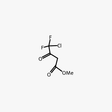 COC(=O)CC(=O)C(F)(F)Cl